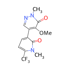 COc1c(-c2ccc(C(F)(F)F)n(C)c2=O)cnn(C)c1=O